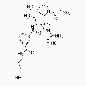 C[C@@H]1CCN(C(=O)CC#N)C[C@@H]1N(C)c1nc(-c2cccc(C(=O)NCCCCN)c2)nc2c1ccn2C(N)=O.Cl